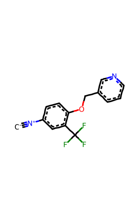 [C-]#[N+]c1ccc(OCc2cccnc2)c(C(F)(F)F)c1